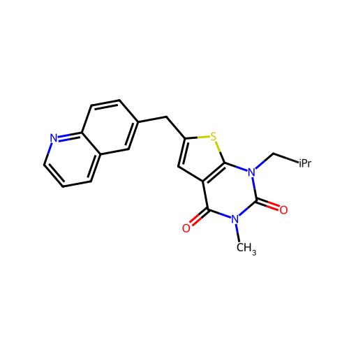 CC(C)Cn1c(=O)n(C)c(=O)c2cc(Cc3ccc4ncccc4c3)sc21